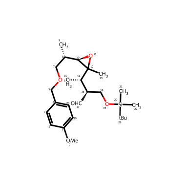 COc1ccc(COC[C@H](C)[C@H]2OC2(C)[C@@H](C)[C@H](C=O)CO[Si](C)(C)C(C)(C)C)cc1